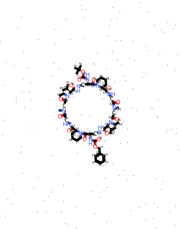 CCN1C(=O)CN(C)C(=O)CNC(=O)[C@@H]2CCCCN2C(=O)[C@H](NC(=O)OCc2ccccc2)CNC(=O)[C@H](C(C)C)N(CC)C(=O)CN(C)C(=O)CNC(=O)[C@@H]2CCCCN2C(=O)[C@H](NC(=O)OC(C)(C)C)CNC(=O)[C@@H]1C(C)C